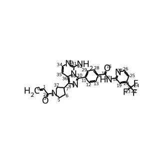 C=CC(=O)N1CCC(c2nc(-c3ccc(C(=O)Nc4cc(C(F)(F)F)ccn4)cc3)n3c(N)nccc23)C1